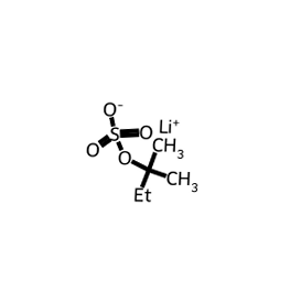 CCC(C)(C)OS(=O)(=O)[O-].[Li+]